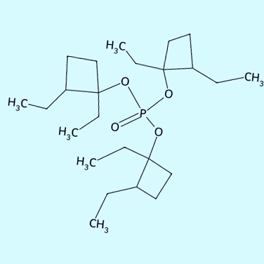 CCC1CCC1(CC)OP(=O)(OC1(CC)CCC1CC)OC1(CC)CCC1CC